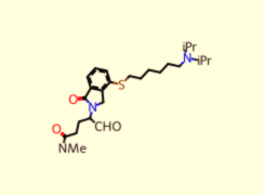 CNC(=O)CCC(C=O)N1Cc2c(SCCCCCCN(C(C)C)C(C)C)cccc2C1=O